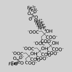 O=C([O-])CC(O)(CC(=O)[O-])C(=O)[O-].O=C([O-])CC(O)(CC(=O)[O-])C(=O)[O-].O=C([O-])CC(O)(CC(=O)[O-])C(=O)[O-].O=C([O-])CC(O)(CC(=O)[O-])C(=O)[O-].O=S(=O)([O-])[O-].O=S(=O)([O-])[O-].[Fe+3].[Fe+3].[Fe+3].[Fe+3].[NH4+].[NH4+].[NH4+].[NH4+]